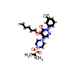 CC(C)S(=O)(=O)N1CCN(c2cnn(-c3cccc(Cl)c3)c(=O)c2OCCCCCF)CC1